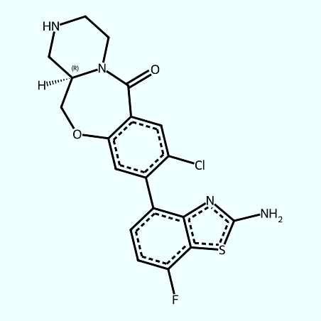 Nc1nc2c(-c3cc4c(cc3Cl)C(=O)N3CCNC[C@@H]3CO4)ccc(F)c2s1